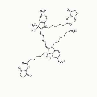 CCOC(=O)CCCCCN1\C(=C/C=C/C=C/C2=[N+](CCCCCC(=O)ON3C(=O)CCC3=O)c3ccc(S(=O)(=O)O)cc3C2(C)C)C(C)(CCCCCC(=O)ON2C(=O)CCC2=O)c2cc(S(=O)(=O)O)ccc21